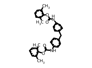 Cc1cccc(C)c1OC(=O)Nc1ccc(Cc2ccc(NC(=O)Oc3c(C)cccc3C)cc2)cc1